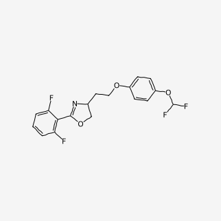 Fc1cccc(F)c1C1=NC(CCOc2ccc(OC(F)F)cc2)CO1